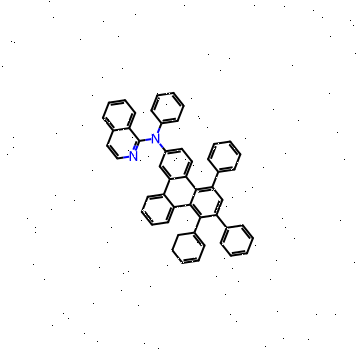 C1=CCCC(c2c(-c3ccccc3)cc(-c3ccccc3)c3c4ccc(N(c5ccccc5)c5nccc6ccccc56)cc4c4ccccc4c23)=C1